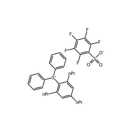 CCCc1cc(CCC)c([S+](c2ccccc2)c2ccccc2)c(CCC)c1.O=S(=O)([O-])c1c(F)c(F)c(F)c(F)c1F